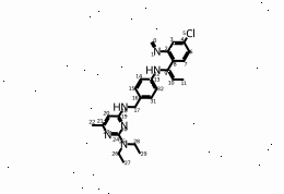 C=Nc1cc(Cl)ccc1/C(=C\C)Nc1ccc(CNc2cc(C)nc(N(CC)CC)n2)cc1